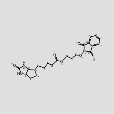 O=C1NC2CSC(CCCCC(=O)OCCCON3C(=O)c4ccccc4C3=O)C2N1